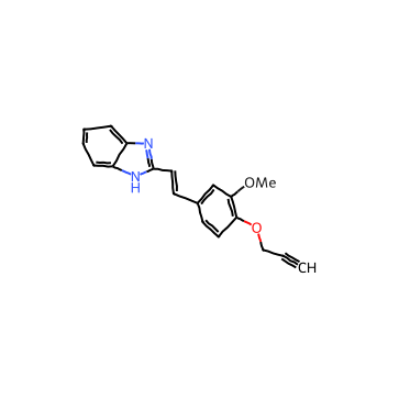 C#CCOc1ccc(/C=C/c2nc3ccccc3[nH]2)cc1OC